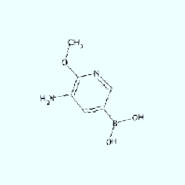 COc1ncc(B(O)O)cc1N